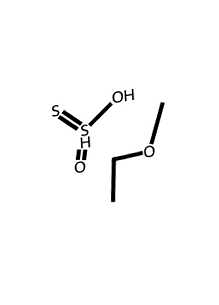 CCOC.O=[SH](O)=S